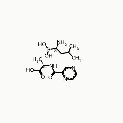 CC(C)C[C@H](N)B(O)O.C[C@H](NC(=O)c1cnccn1)C(=O)O